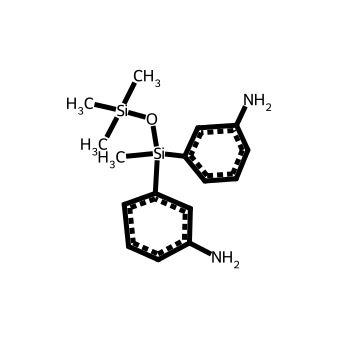 C[Si](C)(C)O[Si](C)(c1cccc(N)c1)c1cccc(N)c1